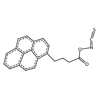 O=C(CCCc1ccc2ccc3cccc4ccc1c2c34)ON=C=S